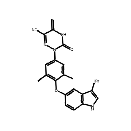 C=C1NC(=O)N(c2cc(C)c(Oc3ccc4[nH]cc(C(C)C)c4c3)c(C)c2)N=C1C#N